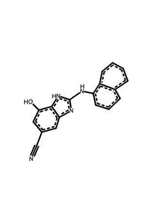 N#Cc1cc(O)c2[nH]c(Nc3cccc4ccccc34)nc2c1